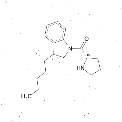 CCCCCC1CN(C(=O)[C@@H]2CCCN2)c2ccccc21